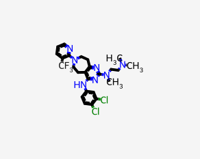 CN(C)CCN(C)c1nc2c(c(Nc3ccc(Cl)c(Cl)c3)n1)CCN(c1ncccc1C(F)(F)F)CC2